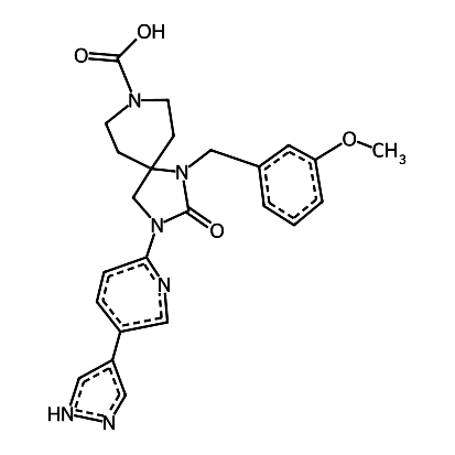 COc1cccc(CN2C(=O)N(c3ccc(-c4cn[nH]c4)cn3)CC23CCN(C(=O)O)CC3)c1